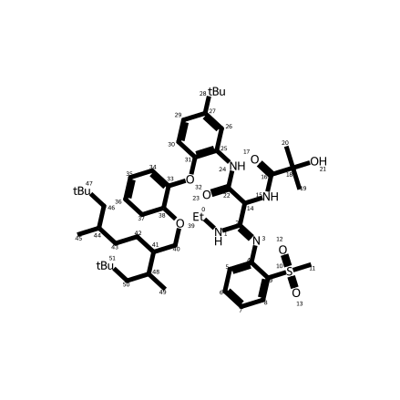 CCN/C(=N\c1ccccc1S(C)(=O)=O)C(NC(=O)C(C)(C)O)C(=O)Nc1cc(C(C)(C)C)ccc1OC1=CC=CCC1OCC(CCC(C)CC(C)(C)C)C(C)CC(C)(C)C